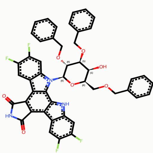 O=C1NC(=O)c2c1c1c3cc(F)c(F)cc3[nH]c1c1c2c2cc(F)c(F)cc2n1[C@@H]1O[C@H](COCc2ccccc2)[C@H](O)[C@H](OCc2ccccc2)[C@H]1OCc1ccccc1